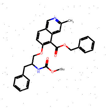 Cc1cc2c(C(=O)OCc3ccccc3)c(OCC(Cc3ccccc3)NC(=O)OC(C)(C)C)ccc2cn1